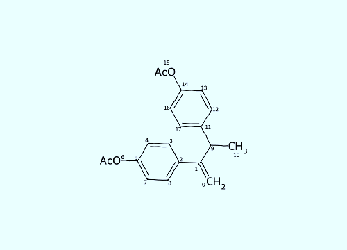 C=C(c1ccc(OC(C)=O)cc1)C(C)c1ccc(OC(C)=O)cc1